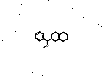 COC(c1ccccc1)N1CCC2=C(CCCC2)C1